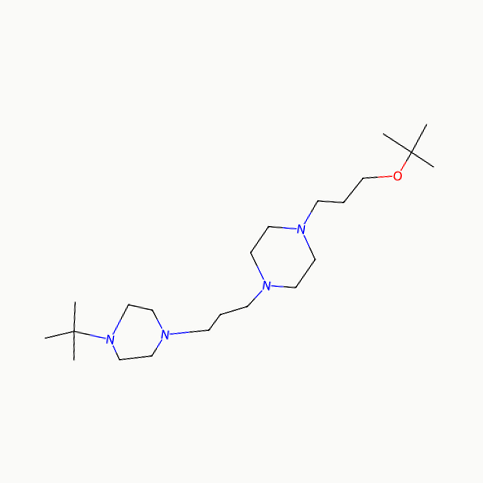 CC(C)(C)OCCCN1CCN(CCCN2CCN(C(C)(C)C)CC2)CC1